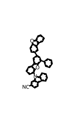 N#Cc1ccc2c3ccccc3n(-c3cccc4c3oc3c(-c5ccccc5)cc(-c5ccc6oc7ccccc7c6c5)cc34)c2c1